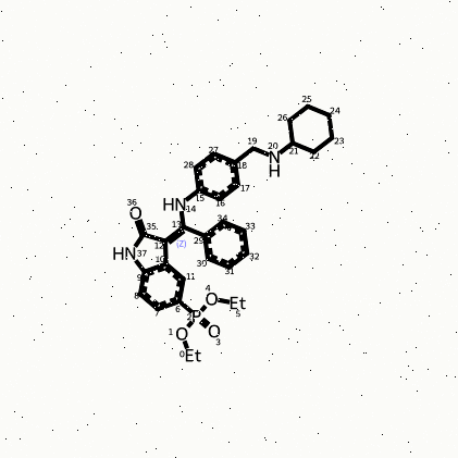 CCOP(=O)(OCC)c1ccc2c(c1)/C(=C(/Nc1ccc(CNC3CCCCC3)cc1)c1ccccc1)C(=O)N2